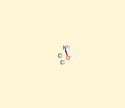 [C].[C].[N+][O-]